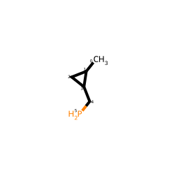 CC1CC1CP